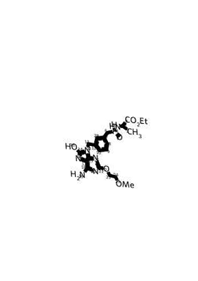 CCOC(=O)C(C)N[PH](=O)Cc1cccc(Cn2c(O)nc3c(N)nc(OCCOC)nc32)c1